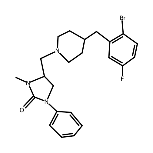 CN1C(=O)N(c2ccccc2)CC1CN1CCC(Cc2cc(F)ccc2Br)CC1